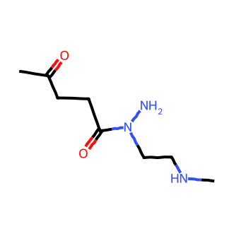 CNCCN(N)C(=O)CCC(C)=O